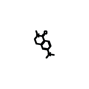 CN1CCc2cc(N(C)C)ccc2C1=O